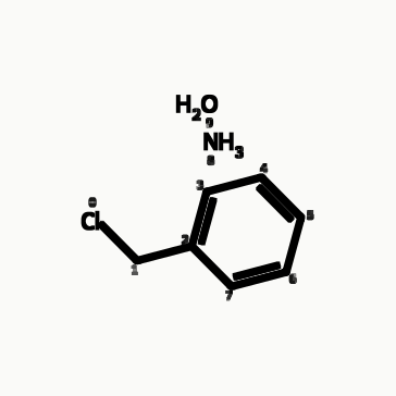 ClCc1ccccc1.N.O